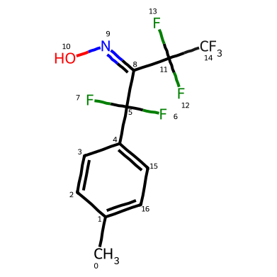 Cc1ccc(C(F)(F)/C(=N\O)C(F)(F)C(F)(F)F)cc1